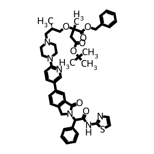 C[C@H](COC(C)(CC(=O)OC(C)(C)C)C(=O)OCc1ccccc1)CN1CCN(c2ccc(-c3ccc4c(c3)C(=O)N(C(C(=O)Nc3nccs3)c3ccccc3)C4)cn2)CC1